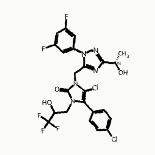 C[C@H](O)c1nc(Cn2c(Cl)c(-c3ccc(Cl)cc3)n(CC(O)C(F)(F)F)c2=O)n(-c2cc(F)cc(F)c2)n1